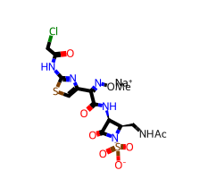 CON=C(C(=O)N[C@@H]1C(=O)N(S(=O)(=O)[O-])[C@@H]1CNC(C)=O)c1csc(NC(=O)CCl)n1.[Na+]